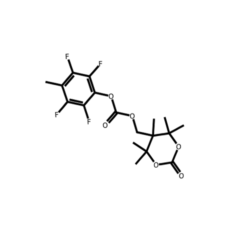 Cc1c(F)c(F)c(OC(=O)OCC2(C)C(C)(C)OC(=O)OC2(C)C)c(F)c1F